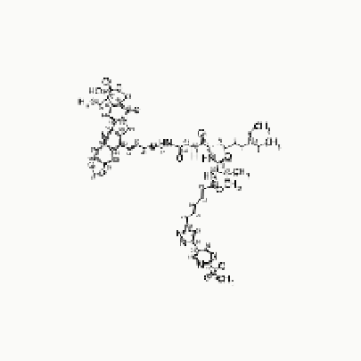 CCN(CC)CCCC[C@H](NC(=O)[C@@H](NC(=O)CCCCCn1cc(-c2cnc(S(C)(=O)=O)nc2)nn1)C(C)C)C(=O)NCC(=O)NCOC/C=C/c1c2c(nc3cc4c(cc13)OCO4)-c1cc3c(c(=O)n1C2)COC(=O)[C@]3(O)CC